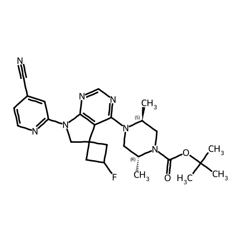 C[C@@H]1CN(c2ncnc3c2C2(CC(F)C2)CN3c2cc(C#N)ccn2)[C@@H](C)CN1C(=O)OC(C)(C)C